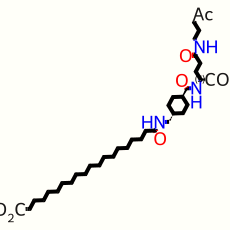 CC(=O)CCCNC(=O)CC[C@H](NC(=O)[C@H]1CC[C@H](CNC(=O)CCCCCCCCCCCCCCCCCCC(=O)O)CC1)C(=O)O